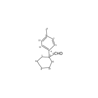 Cc1ccc(C2(C=O)CCCCC2)cc1